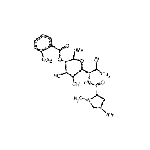 CCC[C@@H]1C[C@@H](C(=O)NC(C(C)Cl)C2OC(SC)C(OC(=O)c3ccccc3OC(C)=O)C(O)C2O)N(C)C1